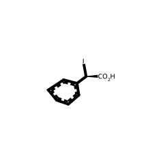 O=C(O)[C@H](I)c1ccccc1